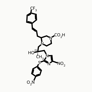 C[C@](O)(CN1CCN(C(=O)O)CC1CC=Cc1ccc(C(F)(F)F)cc1)Cn1cc([N+](=O)[O-])nc1Sc1ccc([N+](=O)[O-])cc1